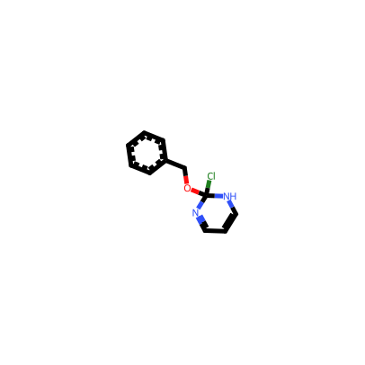 ClC1(OCc2ccccc2)N=CC=CN1